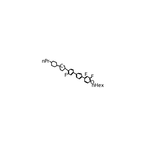 CCCCCCOc1ccc(-c2ccc(-c3ccc(C4CCC(C5CCC(CCC)CC5)CC4)c(F)c3)cc2)c(F)c1F